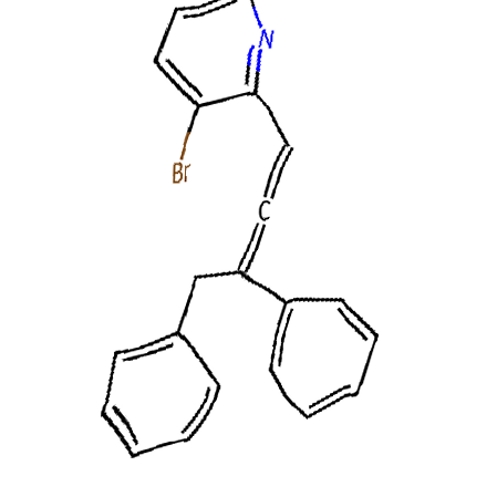 Brc1cccnc1C=C=C(Cc1ccccc1)c1ccccc1